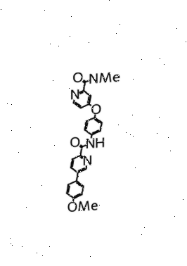 CNC(=O)c1cc(Oc2ccc(NC(=O)c3ccc(-c4ccc(OC)cc4)cn3)cc2)ccn1